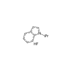 CC(C)n1ccc2ccccc21.F